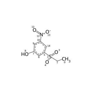 CCS(=O)(=O)c1cc(O)cc([N+](=O)[O-])c1